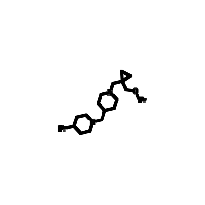 CC(C)OCC1(CN2CCC(CN3CCC(C(C)C)CC3)CC2)CC1